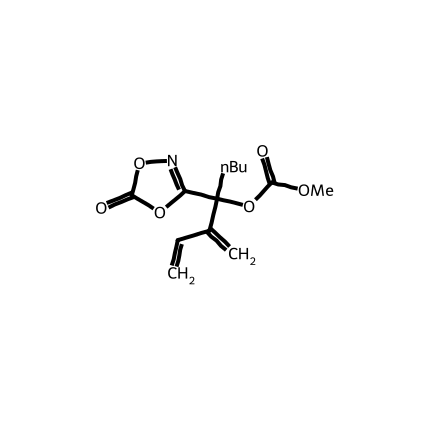 C=CC(=C)C(CCCC)(OC(=O)OC)c1noc(=O)o1